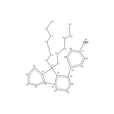 CCCCCCC1(CCCCCC)c2ccccc2-c2cccc(-c3ccc(O)cc3)c21